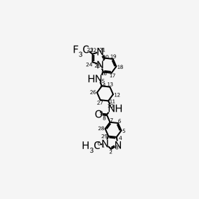 Cn1cnc2ccc(C(=O)NC3CCC(Nc4cccc5nc(C(F)(F)F)cn45)CC3)cc21